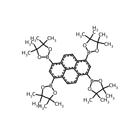 CC1(C)OB(c2cc(B3OC(C)(C)C(C)(C)O3)c3ccc4c(B5OC(C)(C)C(C)(C)O5)cc(B5OC(C)(C)C(C)(C)O5)c5ccc2c3c54)OC1(C)C